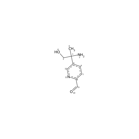 CC(N)(CO)c1ccc(C=O)nc1